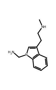 CNCCc1cn(CN)c2ccc[c]c12